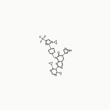 COc1ncnc(C2CC2)c1-c1ncc2cc(-c3cn[nH]c3)c(=O)n(Cc3ccc(-c4nc(C(F)(F)F)cn4C4CC4)cc3)c2n1